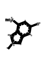 CCOC(=O)c1cc(Cl)nc2cn(C)nc12